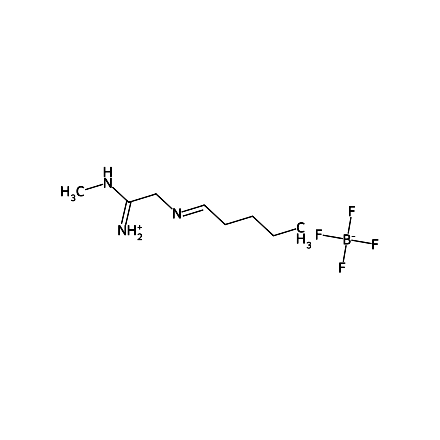 CCCCC=NCC(=[NH2+])NC.F[B-](F)(F)F